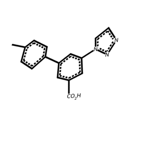 Cc1ccc(-c2cc(C(=O)O)cc(-n3ccnn3)c2)cc1